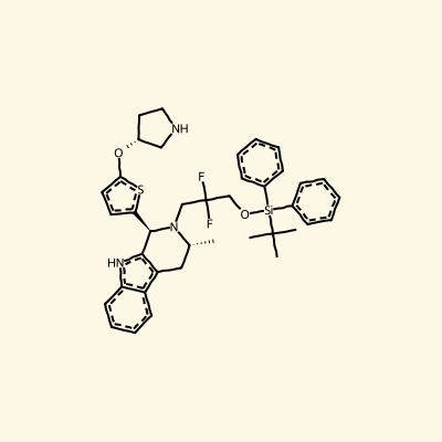 C[C@@H]1Cc2c([nH]c3ccccc23)[C@@H](c2ccc(O[C@@H]3CCNC3)s2)N1CC(F)(F)CO[Si](c1ccccc1)(c1ccccc1)C(C)(C)C